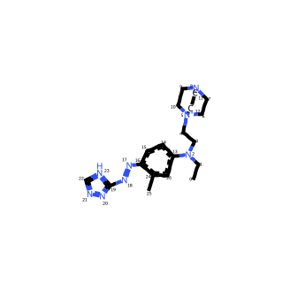 CCN(CC[N+]12CCN(CC1)CC2)c1ccc(/N=N/c2nnc[nH]2)c(C)c1